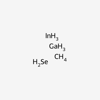 C.[GaH3].[InH3].[SeH2]